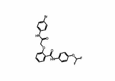 O=C(COc1ccccc1C(=O)Nc1ccc(OC(F)F)cc1)Nc1ccc(Br)cc1